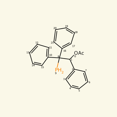 CC(=O)OC(c1ccccc1)C(P)(c1ccccc1)c1ccccc1